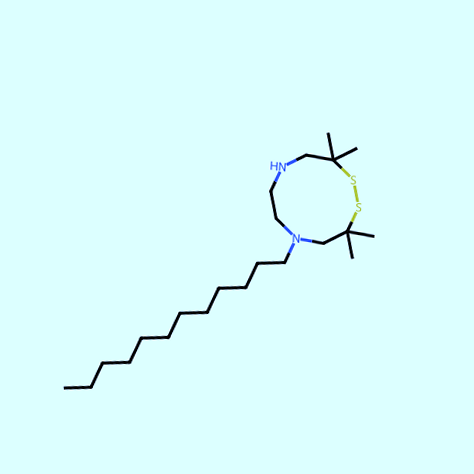 CCCCCCCCCCCCN1CCNCC(C)(C)SSC(C)(C)C1